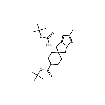 Cc1cc2n(n1)CC1(CCN(C(=O)OC(C)(C)C)CC1)[C@@H]2NC(=O)OC(C)(C)C